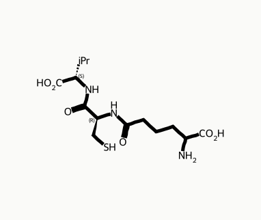 CC(C)[C@H](NC(=O)[C@H](CS)NC(=O)CCCC(N)C(=O)O)C(=O)O